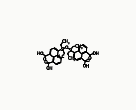 CC[Si](CC)(O[Si](CC)(CC)c1ccc(C(=O)O)c2c(C(=O)O)cccc12)c1ccc(C(=O)O)c2c(C(=O)O)cccc12